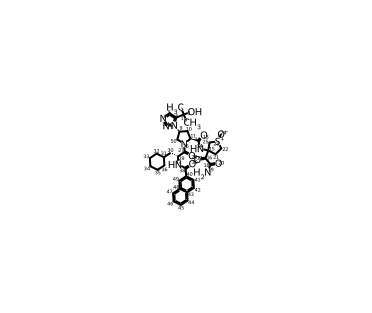 CC(C)(O)c1cnnn1[C@@H]1C[C@@H](C(=O)NC2(C(=O)C(N)=O)CC[S+]([O-])C2)N(C(=O)[C@@H](CC2CCCCC2)NC(=O)c2ccc3ccccc3c2)C1